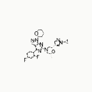 C[C@@H]1CN(c2nc(-c3ccc(F)cc3F)c3cnn(C4CCCCO4)c3n2)C[C@H](c2cnn(C3CC3)c2)O1